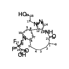 CC1CCCCc2cc(ccn2)-c2c(cnn2CCO)NC1=O.O=C(O)C(F)(F)F